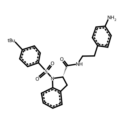 CC(C)(C)c1ccc(S(=O)(=O)N2c3ccccc3C[C@H]2C(=O)NCCc2ccc(N)cc2)cc1